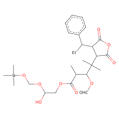 CCC(c1ccccc1)C1C(=O)OC(=O)C1C(C)(C)C(OC=O)C(C)C(=O)OCC(O)OCO[Si](C)(C)C